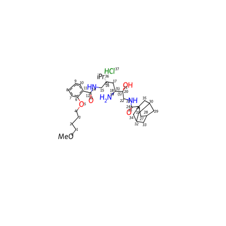 COCCCCOc1ccccc1C(=O)NC[C@@H](C[C@H](N)[C@@H](O)CNC(=O)C12CC3CC(CC(C3)C1)C2)C(C)C.Cl